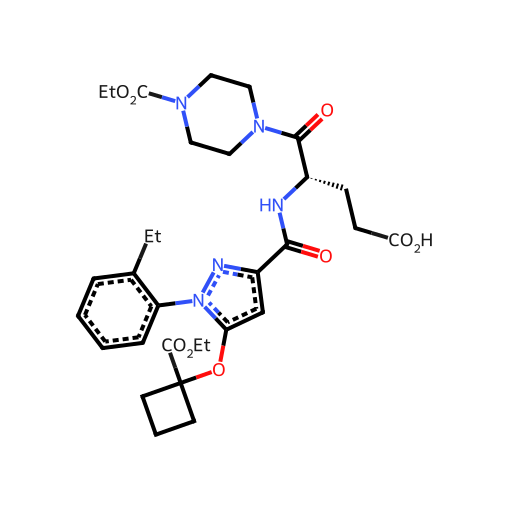 CCOC(=O)N1CCN(C(=O)[C@H](CCC(=O)O)NC(=O)c2cc(OC3(C(=O)OCC)CCC3)n(-c3ccccc3CC)n2)CC1